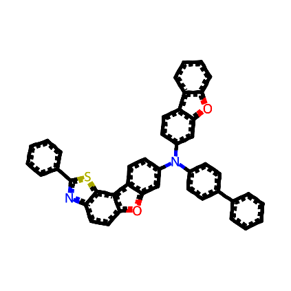 c1ccc(-c2ccc(N(c3ccc4c(c3)oc3ccccc34)c3ccc4c(c3)oc3ccc5nc(-c6ccccc6)sc5c34)cc2)cc1